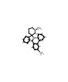 CN1CCCC(NC(=O)c2ccc(C(F)(F)F)cc2-c2ccccc2)(c2ccccc2)C1